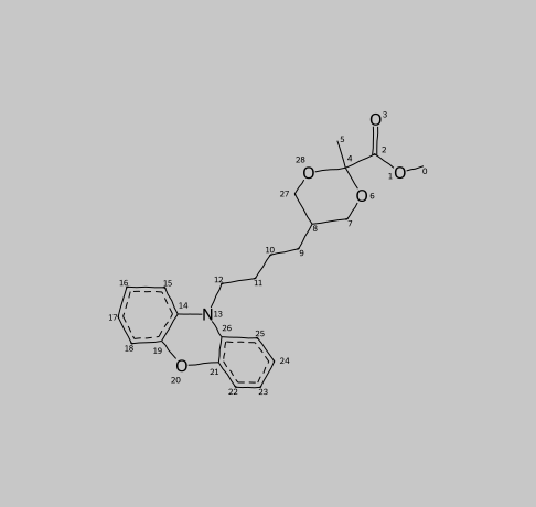 COC(=O)C1(C)OCC(CCCCN2c3ccccc3Oc3ccccc32)CO1